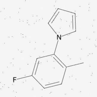 Cc1ccc(F)cc1-n1cccc1